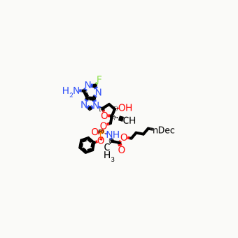 C#C[C@]1(CO[P@](=O)(N[C@@H](C)C(=O)OCCCCCCCCCCCCCC)Oc2ccccc2)O[C@@H](n2cnc3c(N)nc(F)nc32)C[C@@H]1O